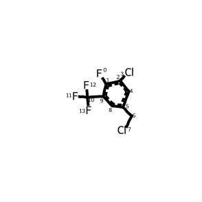 Fc1c(Cl)cc(CCl)cc1C(F)(F)F